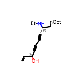 C=C[C@H](O)C#CC#C[C@@H](CCCCCCCCC)NCC